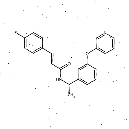 C[C@H](NC(=O)/C=C/c1ccc(F)cc1)c1cccc(Oc2cccnc2)c1